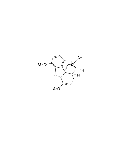 COc1ccc2c3c1OC1C(OC(C)=O)=CC[C@@H]4[C@H](C2)N(C(C)=O)CC[C@@]314